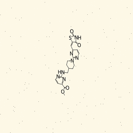 COC(=O)c1ccnc(NCC2CCN(c3nccc(/C=C4/SC(=O)NC4=O)n3)CC2)n1